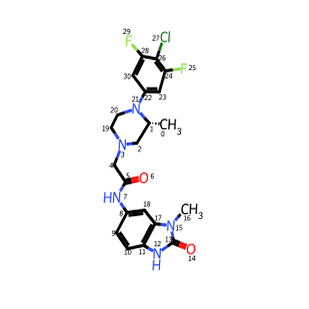 C[C@@H]1CN(CC(=O)Nc2ccc3[nH]c(=O)n(C)c3c2)CCN1c1cc(F)c(Cl)c(F)c1